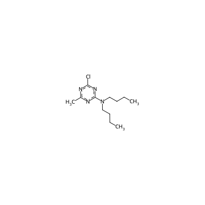 CCCCN(CCCC)c1nc(C)nc(Cl)n1